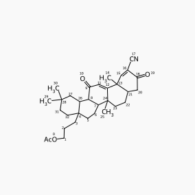 CC(=O)OCCCC12CCC3C(C(=O)C=C4C5(C)C=C(C#N)C(=O)CC5CCC43C)C1CC(C)(C)CC2